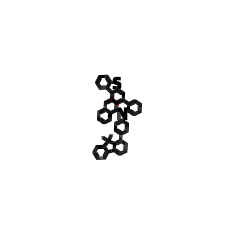 CC1(C)c2ccccc2-c2cccc(-c3ccc(N(c4ccccc4-c4ccc5c(c4)sc4ccccc45)c4cccc5ccccc45)cc3)c21